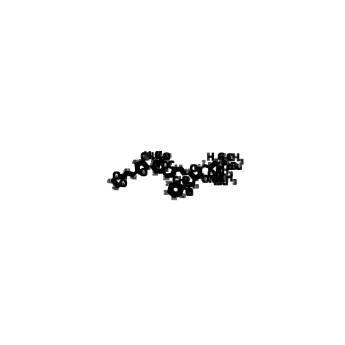 C=C(CC[C@@H]1O[C@H](C[C@@H](CO[Si](C)(C)C(C)(C)C)O[Si](C)(C)C(C)(C)C)C(OC)[C@H]1CS(=O)(=O)c1ccccc1)[C@@H](C)C[C@@H](CC[C@@H]1O[C@@H](CCC2OCCO2)CC1C)OS(C)(=O)=O